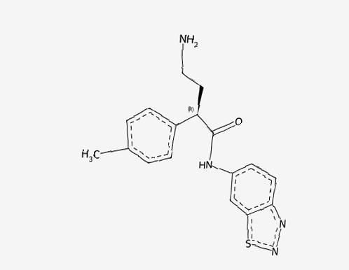 Cc1ccc([C@@H](CCN)C(=O)Nc2ccc3nnsc3c2)cc1